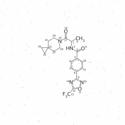 CC(NC(=O)c1ccc(-c2noc(C(F)(F)F)n2)cc1)C(=O)N1CCC2(CC1)CC2